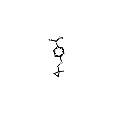 OB(O)c1cnc(OCC2(F)CC2)nc1